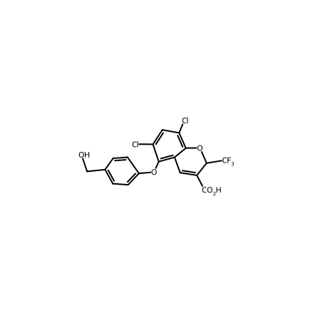 O=C(O)C1=Cc2c(Oc3ccc(CO)cc3)c(Cl)cc(Cl)c2OC1C(F)(F)F